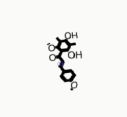 COc1ccc(/C=C/C(=O)c2c(O)c(C)c(O)c(C)c2OC)cc1